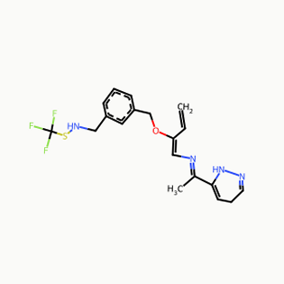 C=C/C(=C\N=C(/C)C1=CCC=NN1)OCc1cccc(CNSC(F)(F)F)c1